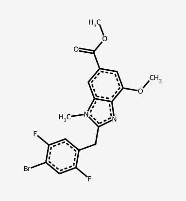 COC(=O)c1cc(OC)c2nc(Cc3cc(F)c(Br)cc3F)n(C)c2c1